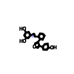 Oc1ccc(-c2cocc2-c2ccccc2/C=C/c2cc(O)cc(O)c2)cc1